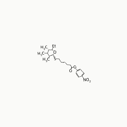 CCC1O[C@@H](SCCCCCC(=O)Oc2ccc([N+](=O)[O-])cc2)[C@@H](C)C(C)[C@@H]1C